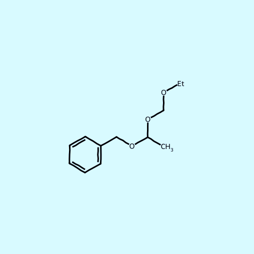 CCOCOC(C)OCc1ccccc1